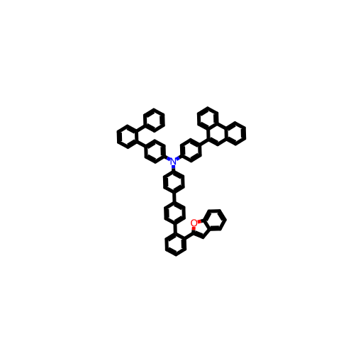 c1ccc(-c2ccccc2-c2ccc(N(c3ccc(-c4ccc(-c5ccccc5-c5cc6ccccc6o5)cc4)cc3)c3ccc(-c4cc5ccccc5c5ccccc45)cc3)cc2)cc1